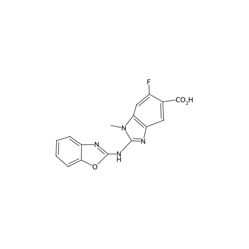 Cn1c(Nc2nc3ccccc3o2)nc2cc(C(=O)O)c(F)cc21